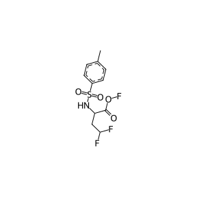 Cc1ccc(S(=O)(=O)NC(CC(F)F)C(=O)OF)cc1